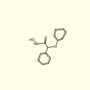 O=C(NO)C(Oc1ccccc1)c1ccccc1